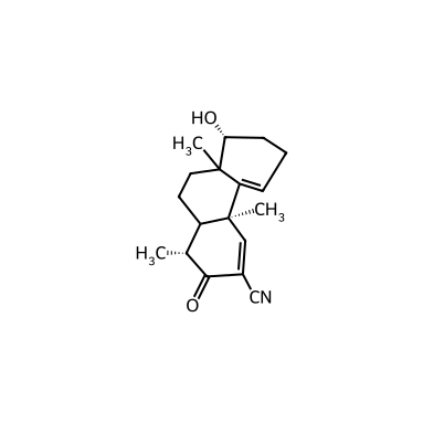 C[C@H]1C(=O)C(C#N)=C[C@]2(C)C3=CCC[C@@H](O)C3(C)CCC12